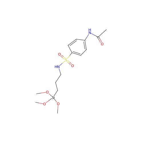 CO[Si](CCCNS(=O)(=O)c1ccc(NC(C)=O)cc1)(OC)OC